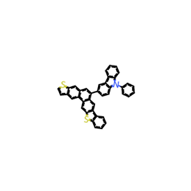 c1ccc(-n2c3ccccc3c3cc(-c4cc5cc6sccc6cc5c5cc6sc7ccccc7c6cc45)ccc32)cc1